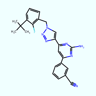 CC(C)(C)c1cccc(Cn2cc(-c3cc(-c4cccc(C#N)c4)nc(N)n3)nn2)c1F